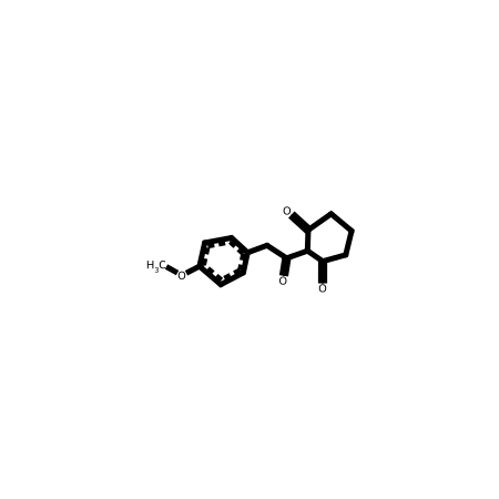 COc1ccc(CC(=O)C2C(=O)CCCC2=O)cc1